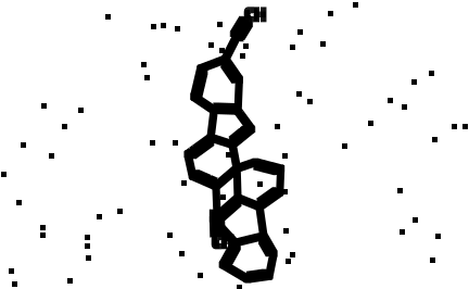 C#CC1=CC=C2C(=Cc3cc(C#C)ccc32)C12C=CC=C1C2=Cc2ccccc21